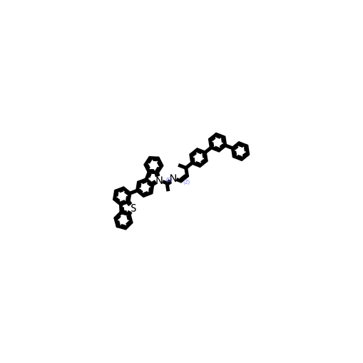 C/C(=N\C=C/C(C)c1ccc(-c2cccc(-c3ccccc3)c2)cc1)n1c2ccccc2c2cc(-c3cccc4c3sc3ccccc34)ccc21